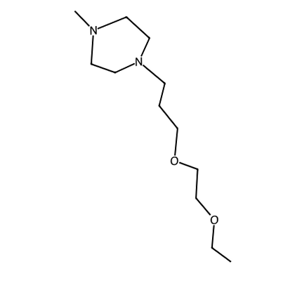 CCOCCOCCCN1CCN(C)CC1